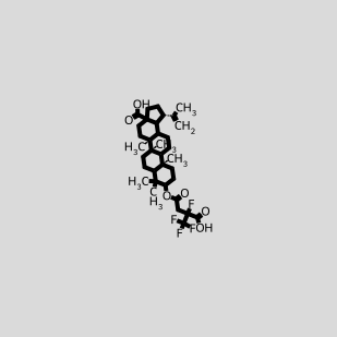 C=C(C)[C@H]1CCC2(C(=O)O)CC[C@@]3(C)C(CCC4[C@@]5(C)CCC(OC(=O)CC(F)(C(=O)O)C(F)(F)F)C(C)(C)C5CC[C@]43C)C12